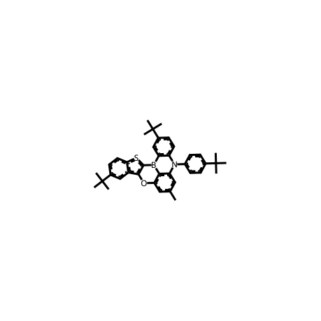 Cc1cc2c3c(c1)N(c1ccc(C(C)(C)C)cc1)c1ccc(C(C)(C)C)cc1B3c1sc3ccc(C(C)(C)C)cc3c1O2